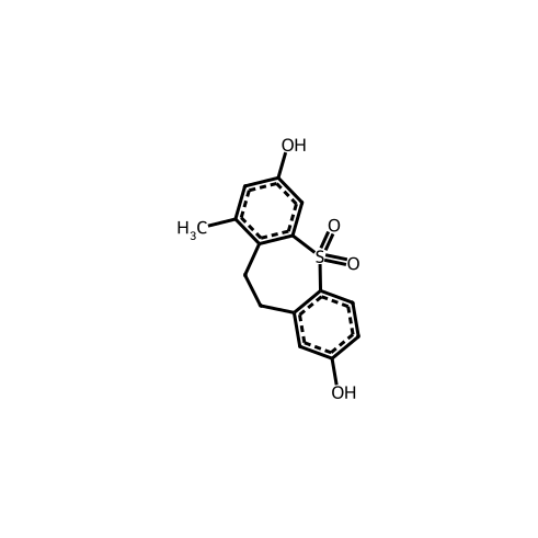 Cc1cc(O)cc2c1CCc1cc(O)ccc1S2(=O)=O